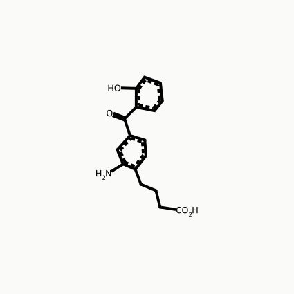 Nc1cc(C(=O)c2ccccc2O)ccc1CCCC(=O)O